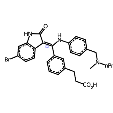 CCCN(C)Cc1ccc(N/C(=C2\C(=O)Nc3cc(Br)ccc32)c2cccc(CCC(=O)O)c2)cc1